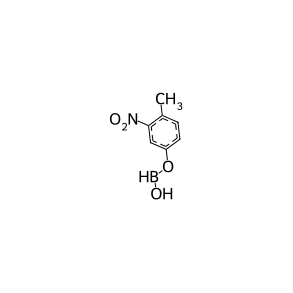 Cc1ccc(OBO)cc1[N+](=O)[O-]